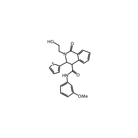 COc1cccc(NC(=O)C2c3ccccc3C(=O)N(CCO)C2c2cccs2)c1